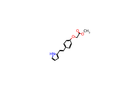 COC(=O)COc1ccc(/C=C/c2ccc[nH]2)cc1